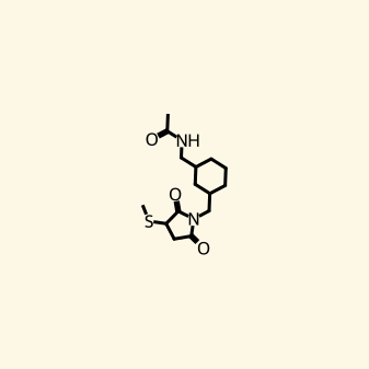 CSC1CC(=O)N(CC2CCCC(CNC(C)=O)C2)C1=O